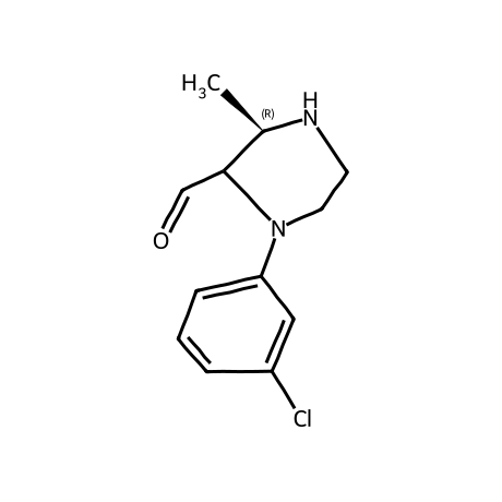 C[C@H]1NCCN(c2cccc(Cl)c2)C1C=O